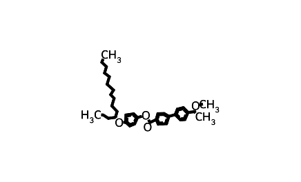 CCCCCCCCCCCC(CCC)Oc1ccc(OC(=O)c2ccc(-c3ccc(C(C)OC)cc3)cc2)cc1